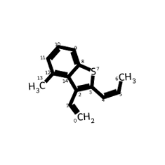 C=Cc1c(/C=C\C)sc2cccc(C)c12